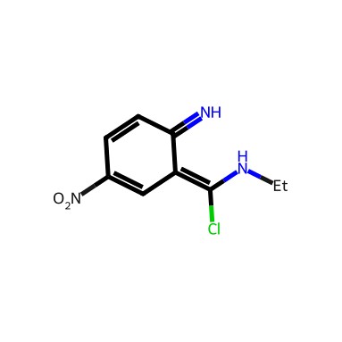 CCN/C(Cl)=C1/C=C([N+](=O)[O-])C=CC1=N